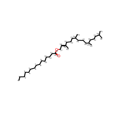 CCCCCCCCCCCCCCC(=O)OC/C=C(\C)CCCC(C)CCCC(C)CCCC(C)C